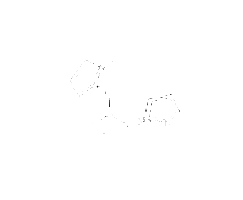 [K+].[O-]B(On1cccn1)On1cccn1